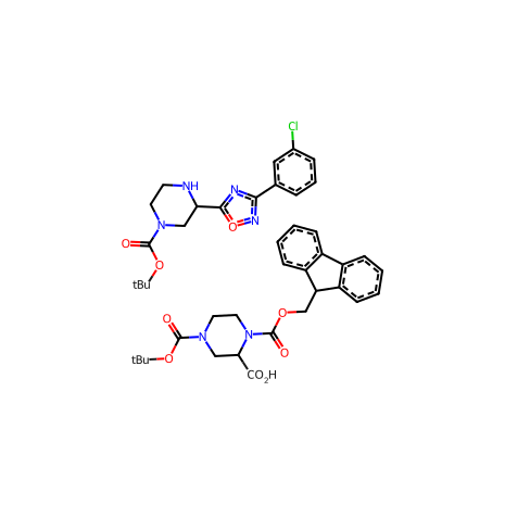 CC(C)(C)OC(=O)N1CCN(C(=O)OCC2c3ccccc3-c3ccccc32)C(C(=O)O)C1.CC(C)(C)OC(=O)N1CCNC(c2nc(-c3cccc(Cl)c3)no2)C1